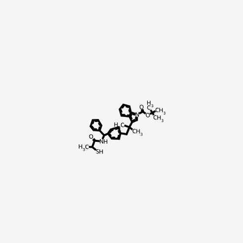 CC(S)C(=O)NC(c1ccccc1)c1ccc(CC(C)(C)c2cn(C(=O)OC(C)(C)C)c3ccccc23)cc1